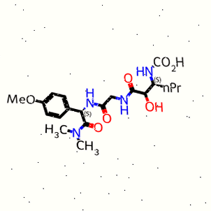 CCC[C@H](NC(=O)O)C(O)C(=O)NCC(=O)N[C@H](C(=O)N(C)C)c1ccc(OC)cc1